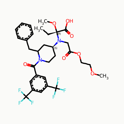 CC[C@@](OC)(C(=O)O)N(CC(=O)OCCOC)[C@H]1CCN(C(=O)c2cc(C(F)(F)F)cc(C(F)(F)F)c2)C(Cc2ccccc2)C1